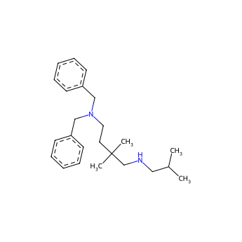 CC(C)CNCC(C)(C)CCN(Cc1ccccc1)Cc1ccccc1